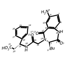 CC[C@H](C)[C@H]1C(=O)Nc2ccc(N)cc2C(=O)N1CC(=O)N[C@H](CC(=O)O)c1ccccc1